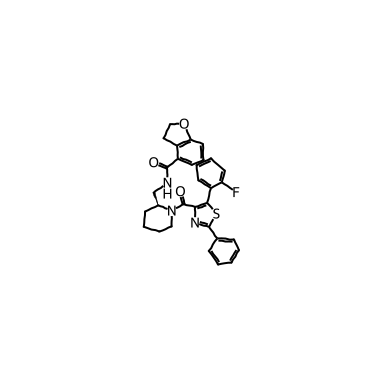 O=C(NC[C@@H]1CCCCN1C(=O)c1nc(-c2ccccc2)sc1-c1ccccc1F)c1cccc2c1CCO2